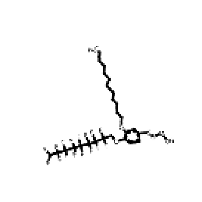 CCCCCCCCCCCCOc1cc(SOOO)ccc1OCC(F)(F)C(F)(F)C(F)(F)C(F)(F)C(F)(F)C(F)(F)C(F)(F)C(F)F